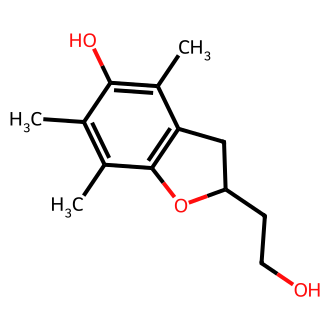 Cc1c(C)c2c(c(C)c1O)CC(CCO)O2